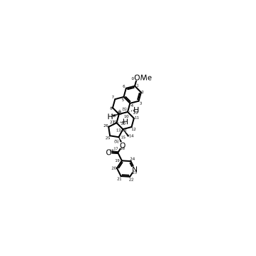 COc1ccc2c(c1)CC[C@@H]1[C@@H]2CC[C@]2(C)[C@@H](OC(=O)c3cccnc3)CC[C@@H]12